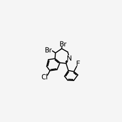 Fc1ccccc1C1=NCC(Br)C(Br)c2ccc(Cl)cc21